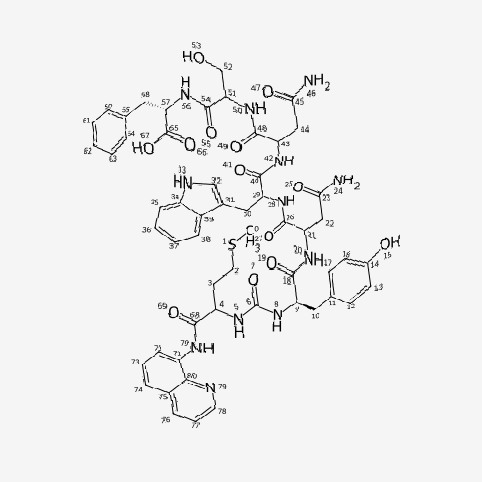 CSCCC(NC(=O)N[C@H](Cc1ccc(O)cc1)C(=O)NC(CC(N)=O)C(=O)NC(Cc1c[nH]c2ccccc12)C(=O)NC(CC(N)=O)C(=O)NC(CO)C(=O)N[C@@H](Cc1ccccc1)C(=O)O)C(=O)Nc1cccc2cccnc12